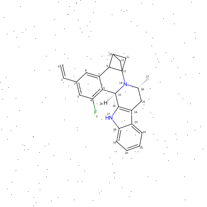 C=Cc1cc(F)c2c(c1)C1C3CC1(C3)N1[C@H]2c2[nH]c3ccccc3c2C[C@H]1C